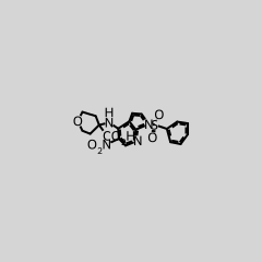 O=C(O)C1(Nc2c([N+](=O)[O-])cnc3c2ccn3S(=O)(=O)c2ccccc2)CCOCC1